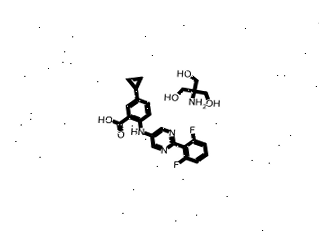 NC(CO)(CO)CO.O=C(O)c1cc(C2CC2)ccc1Nc1cnc(-c2c(F)cccc2F)nc1